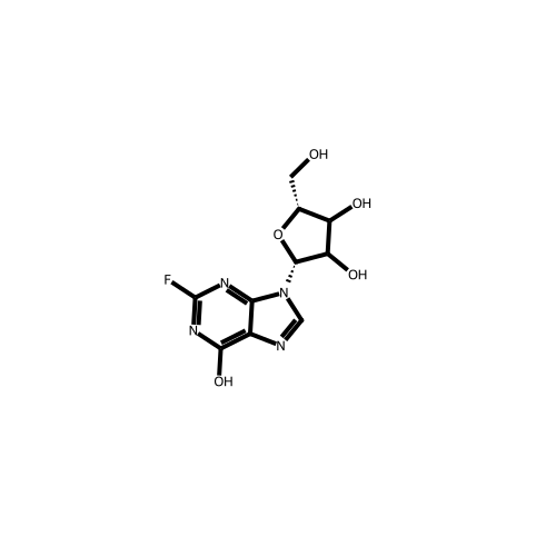 OC[C@H]1O[C@@H](n2cnc3c(O)nc(F)nc32)C(O)C1O